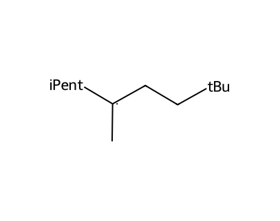 CCCC(C)[C](C)CCC(C)(C)C